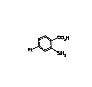 CCc1ccc(C(=O)O)c([SiH3])c1